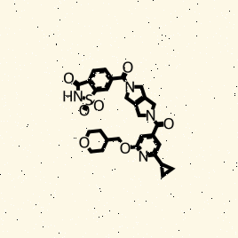 O=C1NS(=O)(=O)c2cc(C(=O)N3CC4=C(CN(C(=O)c5cc(OCC6CCOCC6)nc(C6CC6)c5)C4)C3)ccc21